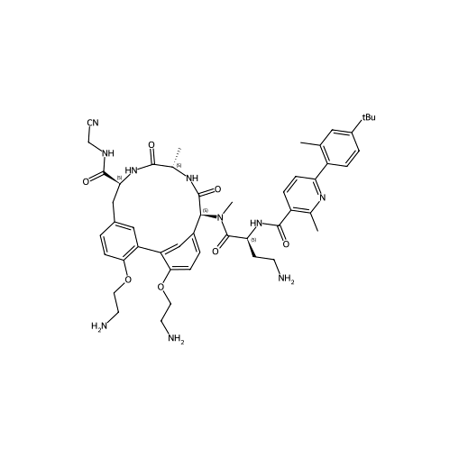 Cc1cc(C(C)(C)C)ccc1-c1ccc(C(=O)N[C@@H](CCN)C(=O)N(C)[C@@H]2C(=O)N[C@@H](C)C(=O)N[C@H](C(=O)NCC#N)Cc3ccc(OCCN)c(c3)-c3cc2ccc3OCCN)c(C)n1